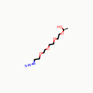 C[C@H](O)OCCOCCOCCOCCN=[N+]=[N-]